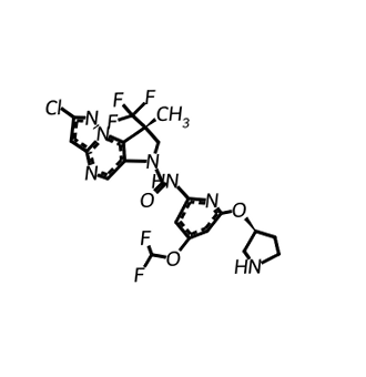 C[C@@]1(C(F)(F)F)CN(C(=O)Nc2cc(OC(F)F)cc(O[C@H]3CCNC3)n2)c2cnc3cc(Cl)nn3c21